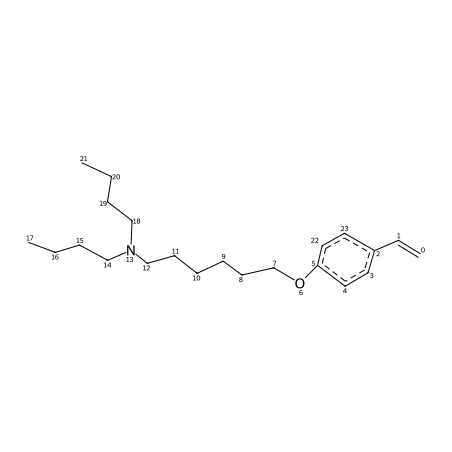 C=Cc1ccc(OCCCCCCN(CCCC)CCCC)cc1